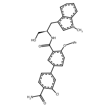 CCCOc1ccc(-c2ccc(C(N)=O)c(Cl)c2)cc1C(=O)N[C@@H](CO)Cc1cn(C)c2ccccc12